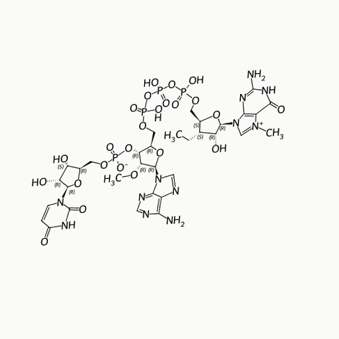 CC[C@H]1[C@@H](O)[C@H](n2c[n+](C)c3c(=O)[nH]c(N)nc32)O[C@@H]1COP(=O)(O)OP(=O)(O)OP(=O)(O)OC[C@H]1O[C@@H](n2cnc3c(N)ncnc32)[C@H](OC)[C@@H]1OP(=O)([O-])OC[C@H]1O[C@@H](n2ccc(=O)[nH]c2=O)[C@H](O)[C@@H]1O